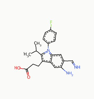 CC(C)c1c(CCC(=O)O)c2cc(N)c(C=N)cc2n1-c1ccc(F)cc1